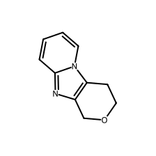 c1ccn2c3c(nc2c1)COCC3